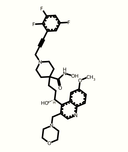 COc1ccc2ncc(CN3CCOCC3)c([C@H](O)CCC3(C(=O)NO)CCN(CC#Cc4cc(F)cc(F)c4F)CC3)c2c1